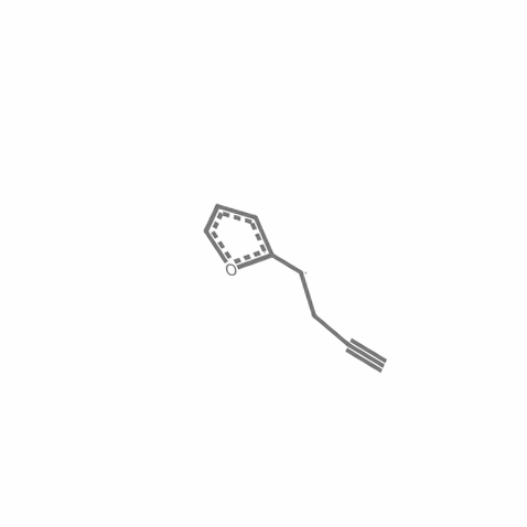 C#CC[CH]c1ccco1